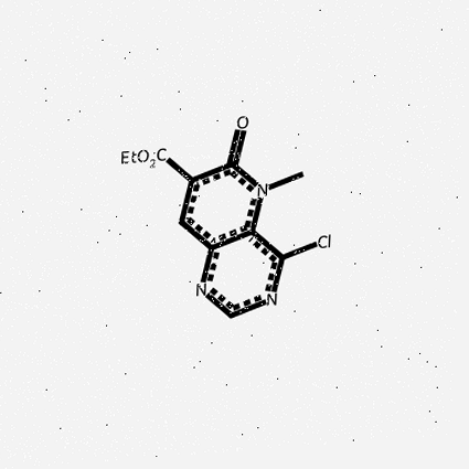 CCOC(=O)c1cc2ncnc(Cl)c2n(C)c1=O